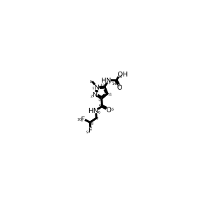 Cn1nc(C(=O)NCC(F)F)cc1NC(=O)O